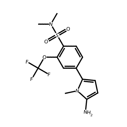 CN(C)S(=O)(=O)c1ccc(-c2ccc(N)n2C)cc1OC(F)(F)F